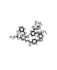 Cc1cnc(Nc2ccc(NCCN(CC(=O)OC(C)C)C(=O)OCc3ccccc3)nc2)nc1Nc1ccccc1C(=O)NC(C)C